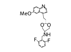 COc1ccc2nccc(CC[C@H]3OC[C@H](NCc4c(F)cccc4F)CO3)c2c1